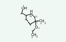 CCOC1(C)CCC(CO)NC1